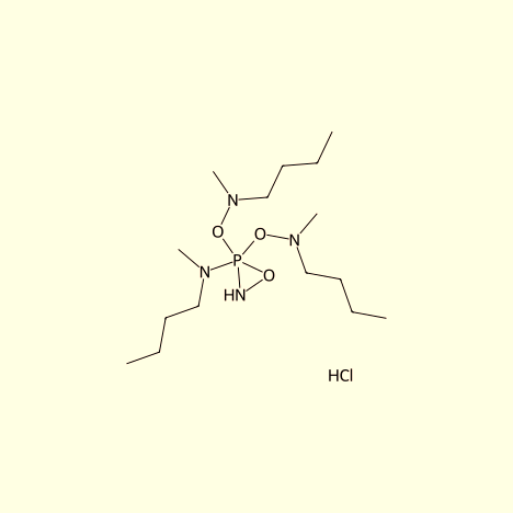 CCCCN(C)OP1(ON(C)CCCC)(N(C)CCCC)NO1.Cl